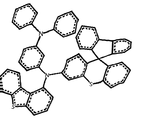 c1ccc(N(c2ccccc2)c2cccc(N(c3ccc4c(c3)Sc3ccccc3C43c4ccccc4-c4ccccc43)c3cccc4sc5ccccc5c34)c2)cc1